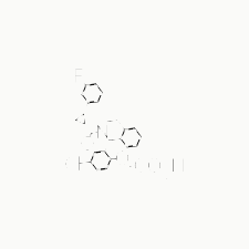 O=C(O)COc1ccc(Cl)cc1[C@@H]1c2ccccc2CCN1C(=O)[C@@H]1C[C@H]1c1cccc(F)c1